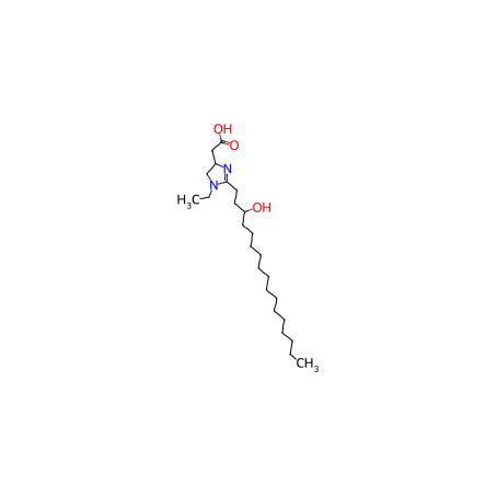 CCCCCCCCCCCCCCC(O)CCC1=NC(CC(=O)O)CN1CC